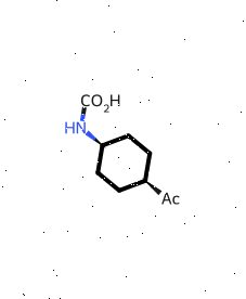 CC(=O)[C@H]1CC[C@@H](NC(=O)O)CC1